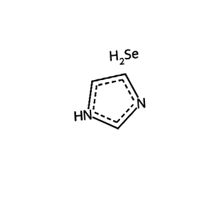 [SeH2].c1c[nH]cn1